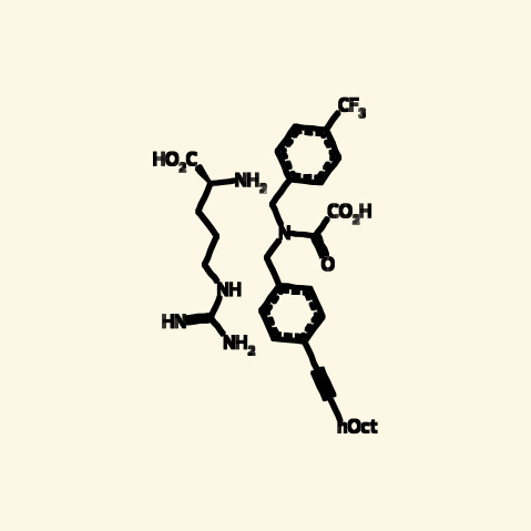 CCCCCCCCC#Cc1ccc(CN(Cc2ccc(C(F)(F)F)cc2)C(=O)C(=O)O)cc1.N=C(N)NCCC[C@H](N)C(=O)O